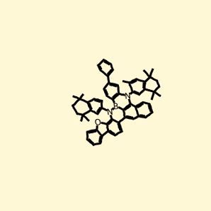 Cc1cc2c(cc1N1c3cc(-c4ccccc4)ccc3B3c4c(cc5ccccc5c41)-c1ccc4c(oc5ccccc54)c1N3c1ccc3c(c1)C(C)(C)CCC3(C)C)C(C)(C)CCC2(C)C